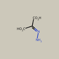 NN=C(C(=O)O)C(=O)O